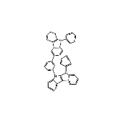 C1=Cc2c(n(-c3ccccc3)c3ccc(-c4cccc(-n5c6ccccc6c6c7ccccc7n(-c7ccccc7)c65)c4)cc23)CC1